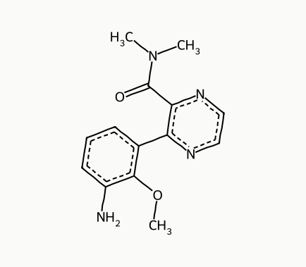 COc1c(N)cccc1-c1nccnc1C(=O)N(C)C